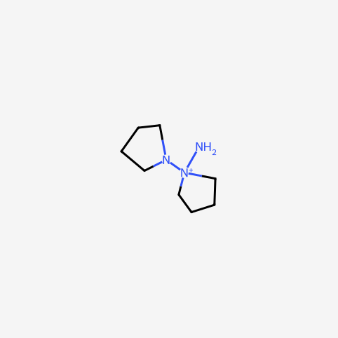 N[N+]1(N2CCCC2)CCCC1